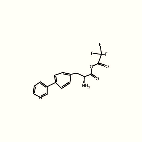 N[C@@H](Cc1ccc(-c2cccnc2)cc1)C(=O)OC(=O)C(F)(F)F